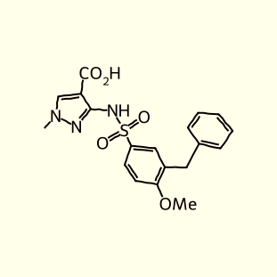 COc1ccc(S(=O)(=O)Nc2nn(C)cc2C(=O)O)cc1Cc1ccccc1